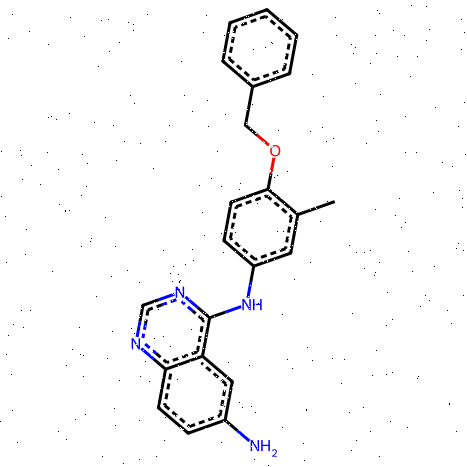 Cc1cc(Nc2ncnc3ccc(N)cc23)ccc1OCc1ccccc1